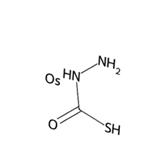 NNC(=O)S.[Os]